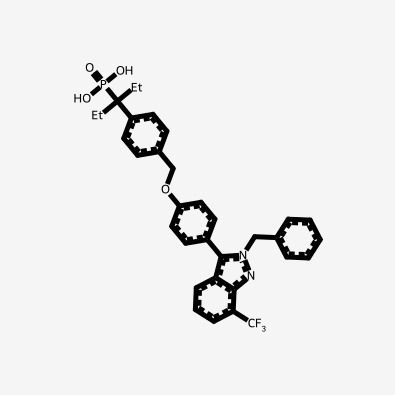 CCC(CC)(c1ccc(COc2ccc(-c3c4cccc(C(F)(F)F)c4nn3Cc3ccccc3)cc2)cc1)P(=O)(O)O